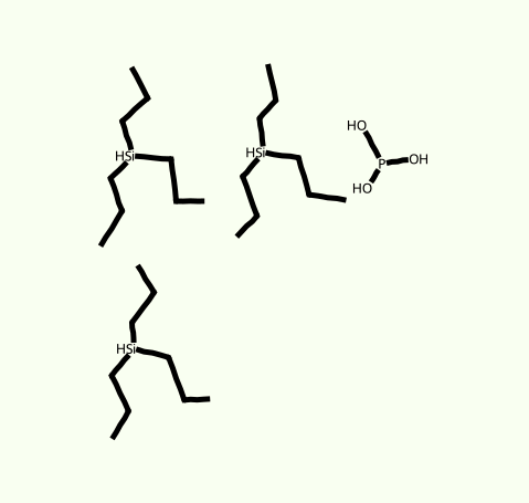 CCC[SiH](CCC)CCC.CCC[SiH](CCC)CCC.CCC[SiH](CCC)CCC.OP(O)O